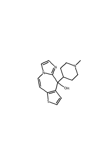 CN1CCC(C2(O)c3ccsc3C=Cn3ccnc32)CC1